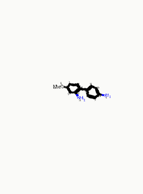 COc1ccc(-c2ccc(N)cc2)c(N)c1